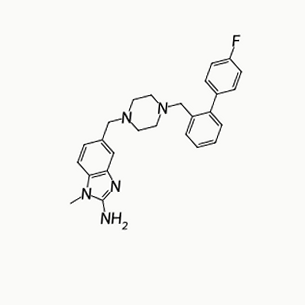 Cn1c(N)nc2cc(CN3CCN(Cc4ccccc4-c4ccc(F)cc4)CC3)ccc21